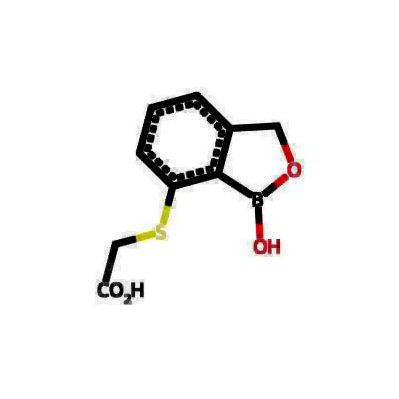 O=C(O)CSc1cccc2c1B(O)OC2